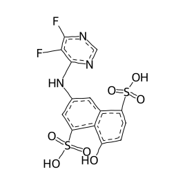 O=S(=O)(O)c1ccc(O)c2c(S(=O)(=O)O)cc(Nc3ncnc(F)c3F)cc12